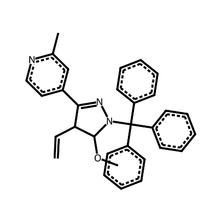 C=CC1C(c2ccnc(C)c2)=NN(C(c2ccccc2)(c2ccccc2)c2ccccc2)C1OC